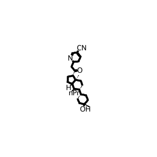 CCC[C@H]1[C@@H]2CC[C@H](C(=O)CC3CC=C(C#N)C=N3)[C@@]2(C)CC[C@@H]1[C@H]1CC[C@@](C)(O)CC1